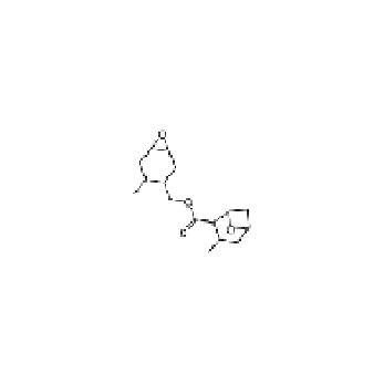 CC1CC2OC2CC1COC(=O)C1C(C)CC2CC1O2